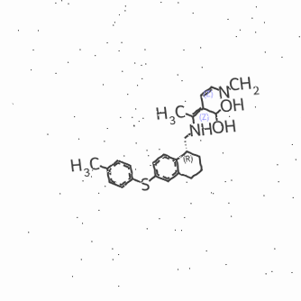 C=N/C=C\C(=C(/C)NC[C@@H]1CCCc2cc(Sc3ccc(C)cc3)ccc21)C(O)O